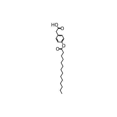 CCCCCCCCCCCCCC(=O)Oc1ccc(CC(=O)O)cc1